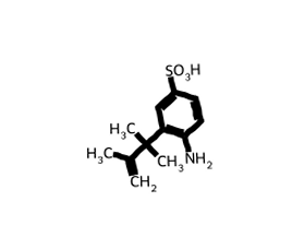 C=C(C)C(C)(C)c1cc(S(=O)(=O)O)ccc1N